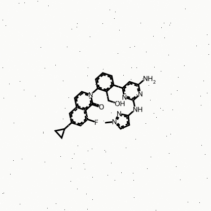 Cn1ccc(Nc2nc(N)cc(-c3cccc(-n4ccc5cc(C6CC6)cc(F)c5c4=O)c3CO)n2)n1